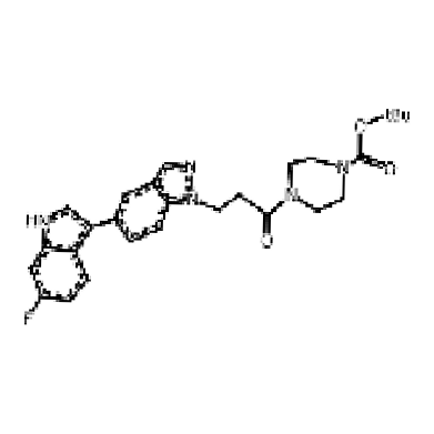 CC(C)(C)OC(=O)N1CCN(C(=O)CCn2ncc3cc(-c4c[nH]c5cc(F)ccc45)ccc32)CC1